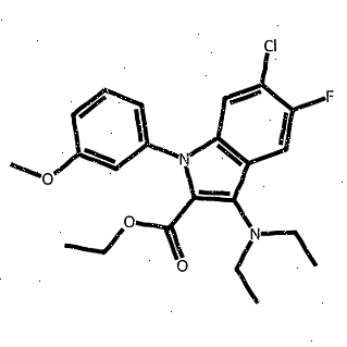 CCOC(=O)c1c(N(CC)CC)c2cc(F)c(Cl)cc2n1-c1cccc(OC)c1